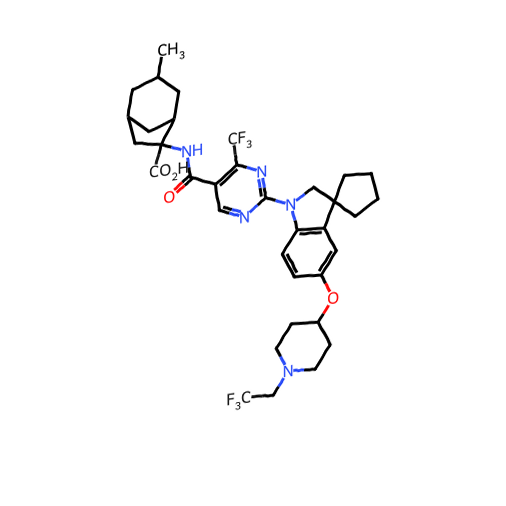 CC1CC2CC(C1)C(NC(=O)c1cnc(N3CC4(CCCC4)c4cc(OC5CCN(CC(F)(F)F)CC5)ccc43)nc1C(F)(F)F)(C(=O)O)C2